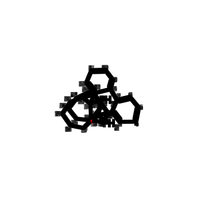 PC1(c2ccccc2-c2ccccc2C2(P)C3CCCCC2CC3)C2CCCCC1CC2